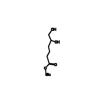 CC(C)(C)OC(=O)CCCC(O)CO